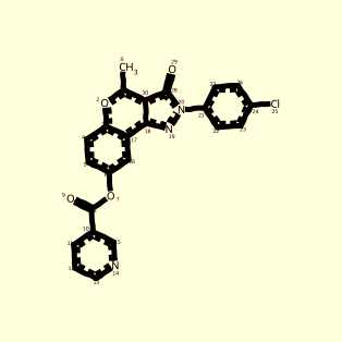 Cc1oc2ccc(OC(=O)c3cccnc3)cc2c2nn(-c3ccc(Cl)cc3)c(=O)c1-2